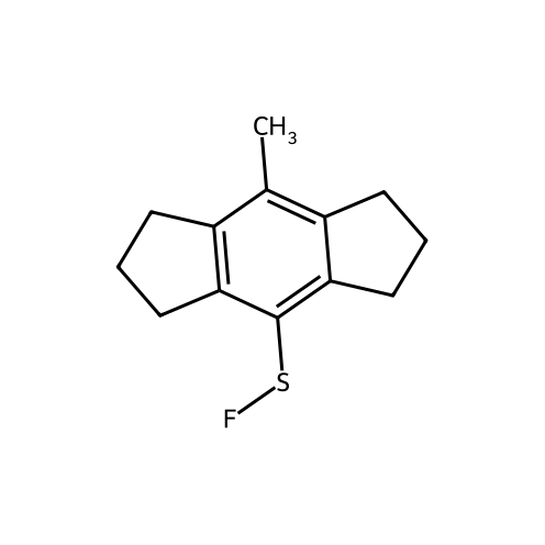 Cc1c2c(c(SF)c3c1CCC3)CCC2